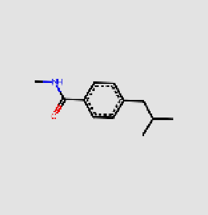 CNC(=O)c1ccc(CC(C)C)cc1